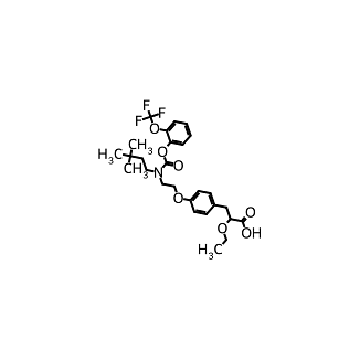 CCOC(Cc1ccc(OCCN(CCC(C)(C)C)C(=O)Oc2ccccc2OC(F)(F)F)cc1)C(=O)O